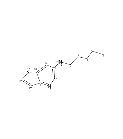 CCCCCNc1cnc2ccsc2c1